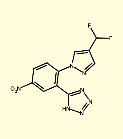 O=[N+]([O-])c1ccc(-n2cc(C(F)F)cn2)c(-c2nnn[nH]2)c1